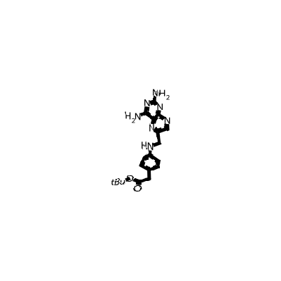 CC(C)(C)OC(=O)Cc1ccc(NCc2cnc3nc(N)nc(N)c3n2)cc1